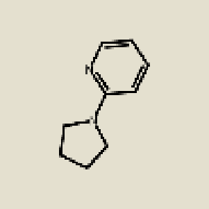 [c]1cccc(N2CCCC2)n1